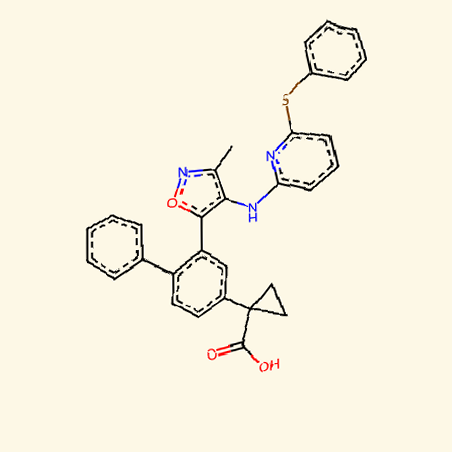 Cc1noc(-c2cc(C3(C(=O)O)CC3)ccc2-c2ccccc2)c1Nc1cccc(Sc2ccccc2)n1